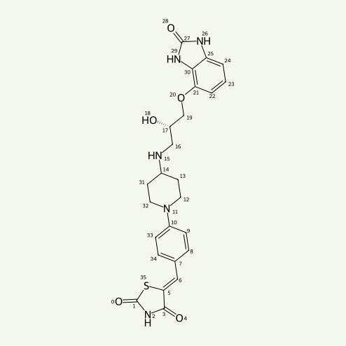 O=C1NC(=O)C(=Cc2ccc(N3CCC(NC[C@H](O)COc4cccc5[nH]c(=O)[nH]c45)CC3)cc2)S1